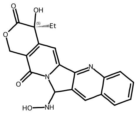 CC[C@@]1(O)C(=O)OCc2c1cc1n(c2=O)C(NO)c2cc3ccccc3nc2-1